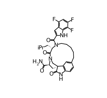 CC(C)C[C@H]1C(=O)N2C[C@]3(C[C@H]2C(N)=O)C(=O)Nc2ccc(cc23)CCCCCN1C(=O)c1cc2c(F)cc(F)c(F)c2[nH]1